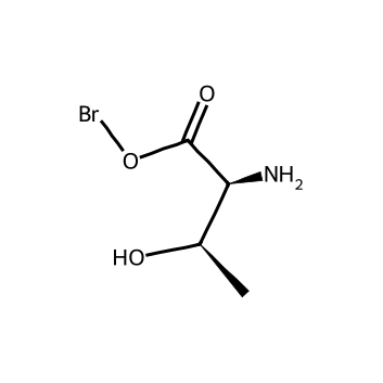 C[C@@H](O)[C@H](N)C(=O)OBr